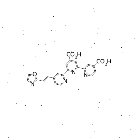 O=C(O)c1ccnc(-c2cc(C(=O)O)cc(-c3cc(/C=C/c4ncco4)ccn3)n2)c1